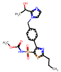 CCCc1nc(-c2ccc(Cn3ccnc3C(C)O)cc2)c(S(=O)(=O)NC(=O)OC)s1